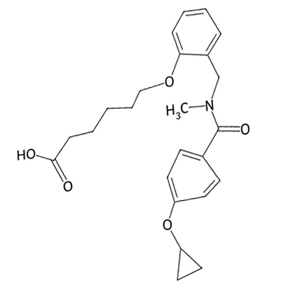 CN(Cc1ccccc1OCCCCCC(=O)O)C(=O)c1ccc(OC2CC2)cc1